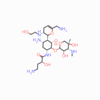 CN[C@@H]1[C@@H](O)[C@@H](O[C@@H]2[C@@H](O)[C@H](C3OC(CN)=CC[C@H]3NCCO)[C@@H](N)C[C@H]2NC(=O)[C@@H](O)CCN)OC[C@]1(C)O